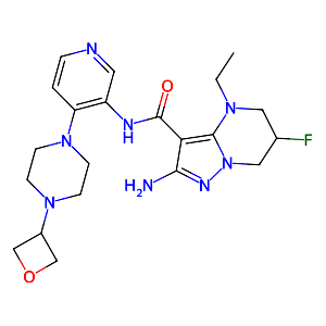 CCN1CC(F)Cn2nc(N)c(C(=O)Nc3cnccc3N3CCN(C4COC4)CC3)c21